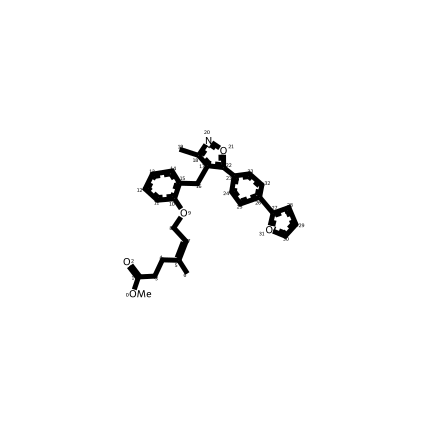 COC(=O)CCC(C)=CCOc1ccccc1Cc1c(C)noc1-c1ccc(-c2ccco2)cc1